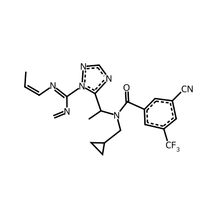 C=N/C(=N\C=C/C)n1ncnc1C(C)N(CC1CC1)C(=O)c1cc(C#N)cc(C(F)(F)F)c1